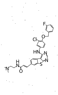 CN(C)CCNC(=O)/C=C/c1ccc2c(c1)sc1ncnc(Nc3ccc(OCc4cccc(F)c4)c(Cl)c3)c12